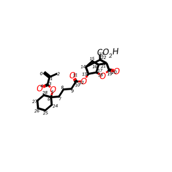 C=C(C)C(=O)OC1(CCCC(=O)OC2C3CC4C2OC(=O)C4C3C(=O)O)CCCCC1